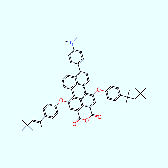 C/C(=C\C(C)(C)C)c1ccc(Oc2cc3c4c(cc(Oc5ccc(C(C)(C)CC(C)(C)C)cc5)c5c6ccc(-c7ccc(N(C)C)cc7)c7cccc(c2c45)c76)C(=O)OC3=O)cc1